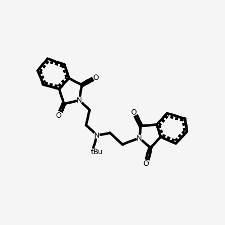 CC(C)(C)N(CCN1C(=O)c2ccccc2C1=O)CCN1C(=O)c2ccccc2C1=O